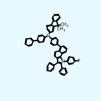 CC1(C)c2ccccc2-c2ccc(N(c3ccc(-c4ccccc4)cc3)c3ccc(-c4cccc5c4ccc4c(-c6ccccc6)c(-c6ccccc6)n(-c6ccc(F)cc6)c45)cc3)cc21